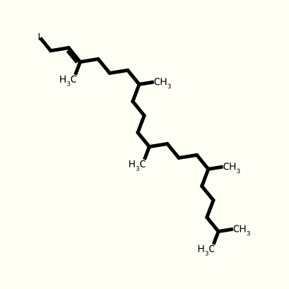 C/C(=C\CI)CCCC(C)CCCC(C)CCCC(C)CCCC(C)C